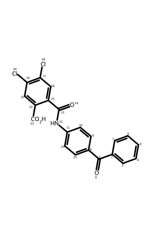 O=C(c1ccccc1)c1ccc(NC(=O)c2cc(Cl)c(Cl)cc2C(=O)O)cc1